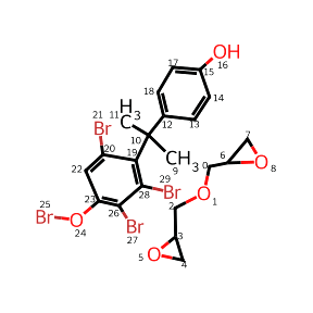 C(OCC1CO1)C1CO1.CC(C)(c1ccc(O)cc1)c1c(Br)cc(OBr)c(Br)c1Br